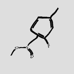 COS(=O)c1ccc(C)cc1F